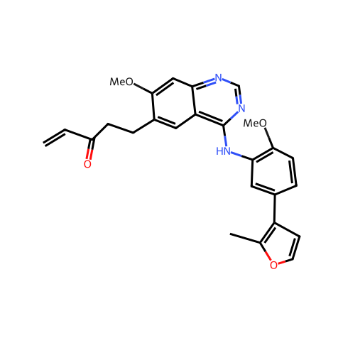 C=CC(=O)CCc1cc2c(Nc3cc(-c4ccoc4C)ccc3OC)ncnc2cc1OC